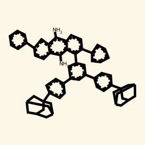 Nc1c2cc(-c3ccccc3)ccc2c(N)c2c(-c3cc(-c4ccc(C56CC7CC(CC(C7)C5)C6)cc4)cc(-c4ccc(C56CC7CC(CC(C7)C5)C6)cc4)c3)c(-c3ccccc3)ccc12